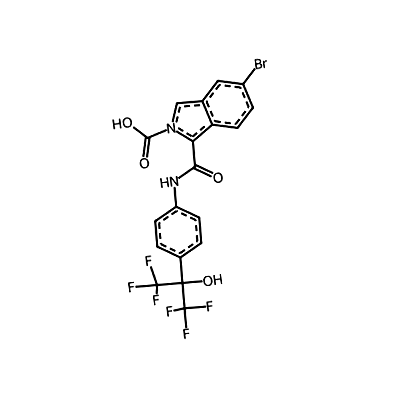 O=C(Nc1ccc(C(O)(C(F)(F)F)C(F)(F)F)cc1)c1c2ccc(Br)cc2cn1C(=O)O